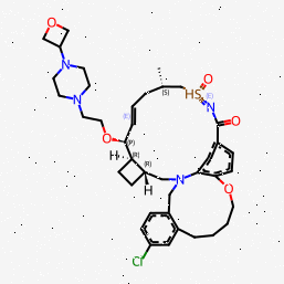 C[C@H]1C/C=C/[C@H](OCCN2CCN(C3COC3)CC2)[C@@H]2CC[C@H]2CN2Cc3ccc(Cl)cc3CCCCOc3ccc(cc32)C(=O)/N=[SH](=O)\C1